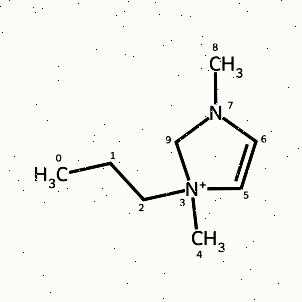 CCC[N+]1(C)C=CN(C)C1